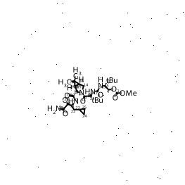 COC(=O)OC[C@@H](NC(=O)N[C@H](C(=O)N1C[C@H]2[C@@H]([C@H]1C(=O)NC(CC1CC1)C(=O)C(N)=O)C2(C)C)C(C)(C)C)C(C)(C)C